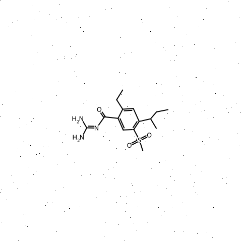 CCc1cc(C(C)CC)c(S(C)(=O)=O)cc1C(=O)N=C(N)N